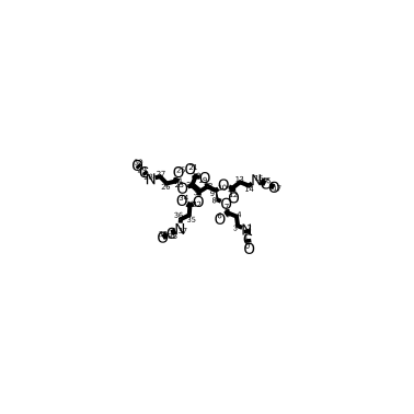 O=C=NCCC(=O)OC[C@H](OC(=O)CCN=C=O)C1OC(=O)C(OC(=O)CCN=C=O)=C1OC(=O)CCN=C=O